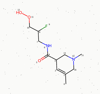 CC1=CC(C(=O)NCC(F)COO)CN(C)C1